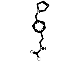 O=C(O)NCCc1ccc(CN2CC=CC2)cc1